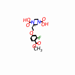 COC(=O)c1ccc(OCC[C@@H]2CN(C(=O)O)CCN2C(=O)O)cc1F